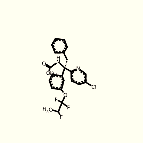 CC(C)COC(=O)N[C@](Cc1ccccc1)(c1cccc(OC(F)(F)C(C)F)c1)c1ccc(Cl)cn1